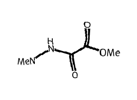 CNNC(=O)C(=O)OC